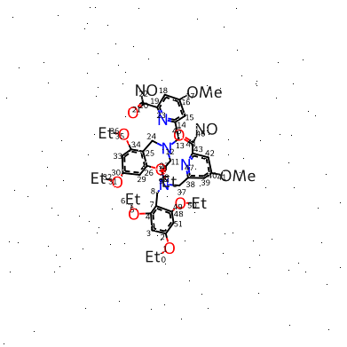 CCOc1cc(OCC)c(CN(CCN(Cc2cc(OC)cc(C(=O)N=O)n2)Cc2c(OCC)cc(OCC)cc2OCC)Cc2cc(OC)cc(C(=O)N=O)n2)c(OCC)c1